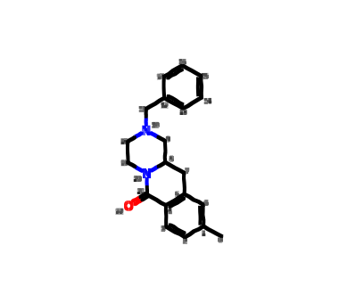 Cc1ccc2c(c1)CC1CN(Cc3ccccc3)CCN1C2=O